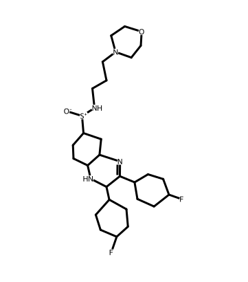 [O-][S+](NCCCN1CCOCC1)C1CCC2NC(C3CCC(F)CC3)C(C3CCC(F)CC3)=NC2C1